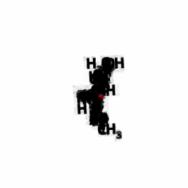 CCCc1ccccc1[C@@H]1CCCN1C1CC2(CCN(c3ccc(C(=O)NS(=O)(=O)c4ccc(NCC5CCC(C)(O)CC5)c([N+](=O)[O-])c4)c(Oc4cnc5[nH]ccc5c4)c3)CC2)C1